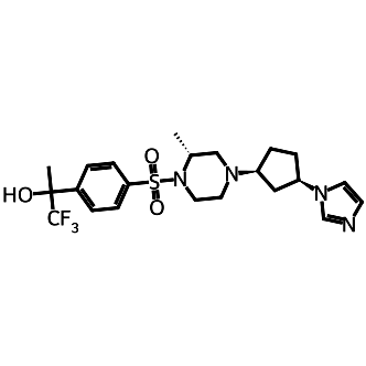 C[C@@H]1CN([C@H]2CC[C@@H](n3ccnc3)C2)CCN1S(=O)(=O)c1ccc(C(C)(O)C(F)(F)F)cc1